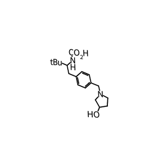 CC(C)(C)C(Cc1ccc(CN2CCC(O)C2)cc1)NC(=O)O